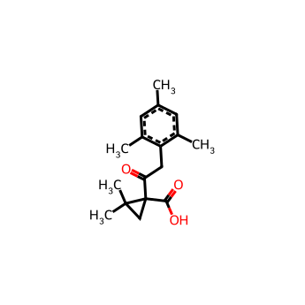 Cc1cc(C)c(CC(=O)C2(C(=O)O)CC2(C)C)c(C)c1